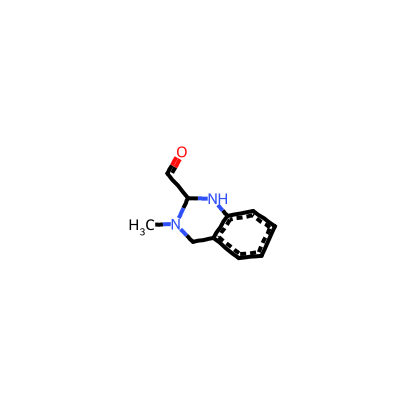 CN1Cc2ccccc2NC1C=O